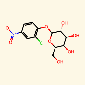 O=[N+]([O-])c1ccc(O[C@@H]2O[C@H](CO)[C@H](O)[C@H](O)[C@H]2O)c(Cl)c1